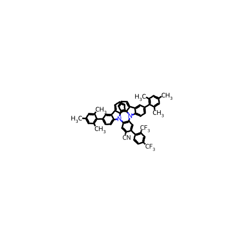 Cc1cc(C)c(-c2ccc3c(c2)c2ccccc2n3-c2cc(C#N)c(-c3ccc(C(F)(F)F)cc3C(F)(F)F)cc2-n2c3ccccc3c3cc(-c4c(C)cc(C)cc4C)ccc32)c(C)c1